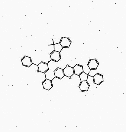 CC1(C)c2ccccc2-c2ccc(C3=CC(c4ccccc4)NC(C4=CCCC=C4c4ccc5c(c4)Oc4c(ccc6c4-c4ccccc4C6(c4ccccc4)c4ccccc4)O5)=C3)cc21